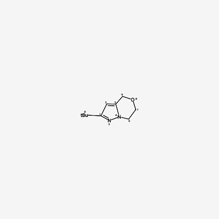 CC(C)(C)c1cc2n(n1)CCOC2